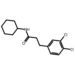 O=C(CCc1ccc(Cl)c(Cl)c1)NC1CCCCC1